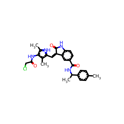 Cc1ccc(C(C)NC(=O)c2ccc3c(c2)/C(=C/c2[nH]c(C)c(NC(=O)CCl)c2C)C(=O)N3)cc1